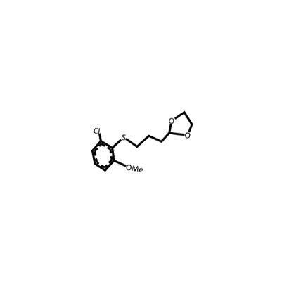 COc1cccc(Cl)c1SCCCC1OCCO1